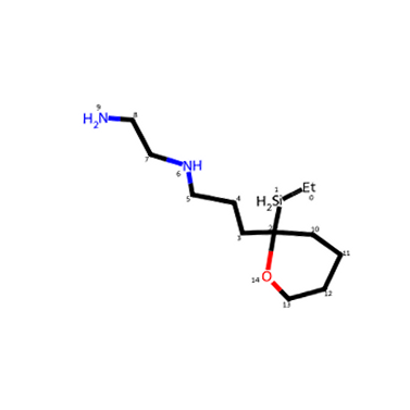 CC[SiH2]C1(CCCNCCN)CCCCO1